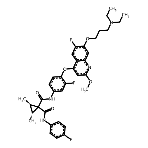 CCN(CC)CCCOc1cc2nc(OC)cc(Oc3ccc(NC(=O)C4(C(=O)Nc5ccc(F)cc5)[C@H](C)[C@H]4C)cc3F)c2cc1F